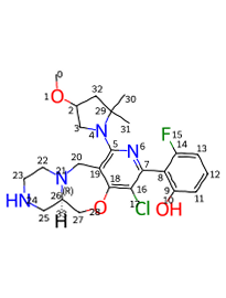 COC1CN(c2nc(-c3c(O)cccc3F)c(Cl)c3c2CN2CCNC[C@@H]2CO3)C(C)(C)C1